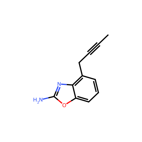 CC#CCc1cccc2oc(N)nc12